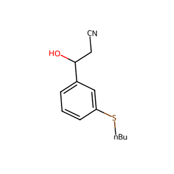 CCCCSc1cccc(C(O)CC#N)c1